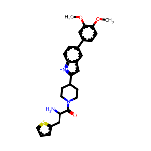 COc1ccc(-c2ccc3[nH]c(C4CCN(C(=O)C(N)Cc5cccs5)CC4)cc3c2)cc1OC